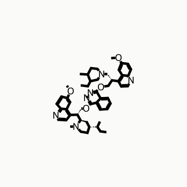 CCC1CN(C[C@@H](COc2nnc(OC[C@@H](c3ccnc4ccc(OC)cc34)[C@H]3C[C@H](C(C)CC)CCN3C)c3ccccc23)c2ccnc3ccc(OC)cc23)CCC1C